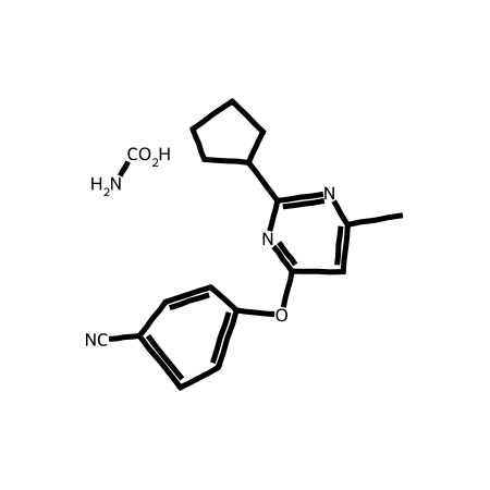 Cc1cc(Oc2ccc(C#N)cc2)nc(C2CCCC2)n1.NC(=O)O